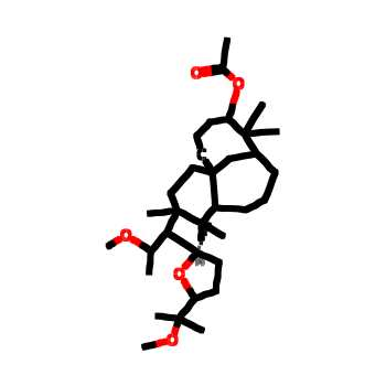 COC(C)C(C1(C)CCC23CCCC(OC(C)=O)C(C)(C)C(CCCC2C1(C)C)C3)[C@@]1(C)CCC(C(C)(C)OC)O1